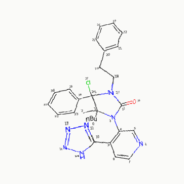 CCCCC1(C)N(c2cnccc2-c2nnn[nH]2)C(=O)N(CCc2ccccc2)C1(Cl)c1ccccc1